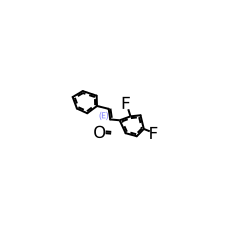 C=O.Fc1ccc(/C=C/c2ccccc2)c(F)c1